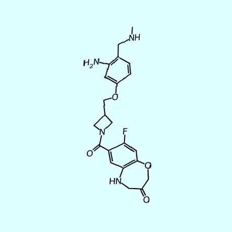 CNCc1ccc(OCC2CN(C(=O)c3cc4c(cc3F)OCC(=O)CN4)C2)cc1N